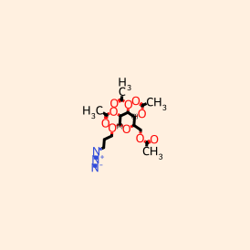 CC(=O)OCC1O[C@@H](OCCCN=[N+]=[N-])C(OC(C)=O)C(OC(C)=O)[C@@H]1OC(C)=O